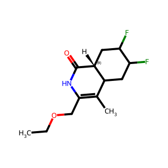 CCOCC1=C(C)C2CC(F)C(F)C[C@H]2C(=O)N1